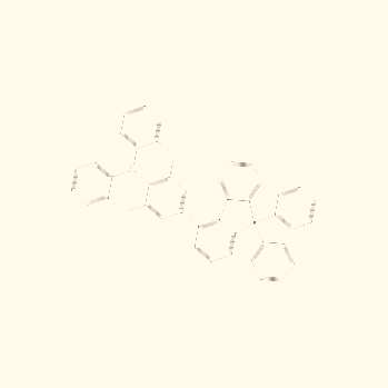 c1ccc(C2(c3ccccc3)c3ccccc3-c3c(-c4cc5c6c(c4)Oc4ccccc4N6c4ccccc4O5)cccc32)cc1